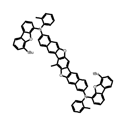 Cc1ccccc1N(c1ccc2cc3c(cc2c1)oc1c(C)c2c(cc13)oc1cc3cc(N(c4ccccc4C)c4cccc5c4oc4c(C(C)(C)C)cccc45)ccc3cc12)c1cccc2c1oc1c(C(C)(C)C)cccc12